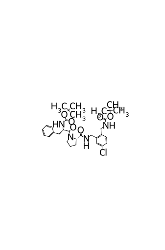 CC(C)(C)OC(=O)NCc1ccc(Cl)cc1CNC(=O)[C@@H]1CCCN1C(=O)[C@@H](Cc1ccccc1)NC(=O)OC(C)(C)C